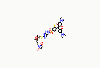 CCN(CC)c1ccc2c(c1)oc1cc(=[N+](CC)CC)cc3osc4cc(S(=O)(=O)NCc5cnc(SC[Si](C)(C)O[Si](C)(C)CCCN6C(=O)C=CC6=O)nc5)ccc4c2c31